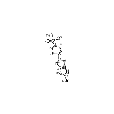 CC(C)(C)S(=O)(=O)c1ccc(-c2cn3nc(Br)sc3n2)cc1